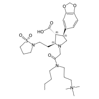 CCCCN(CCC[N+](C)(C)C)C(=O)CN1C[C@H](c2ccc3c(c2)OCO3)[C@@H](C(=O)O)[C@@H]1CCN1CCCS1(=O)=O